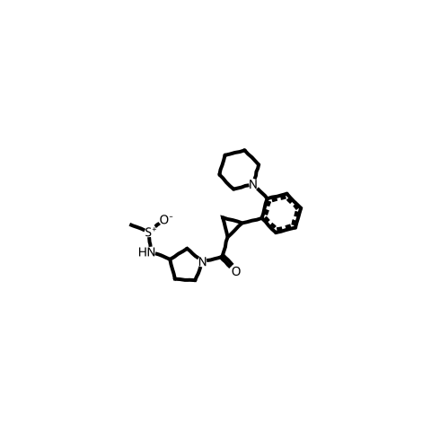 C[S+]([O-])NC1CCN(C(=O)C2CC2c2ccccc2N2CCCCC2)C1